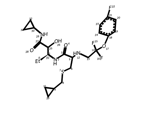 CC[C@H](NC(=O)C(CSCC1CC1)NCC(F)(F)Oc1ccc(F)cc1)C(O)C(=O)NC1CC1